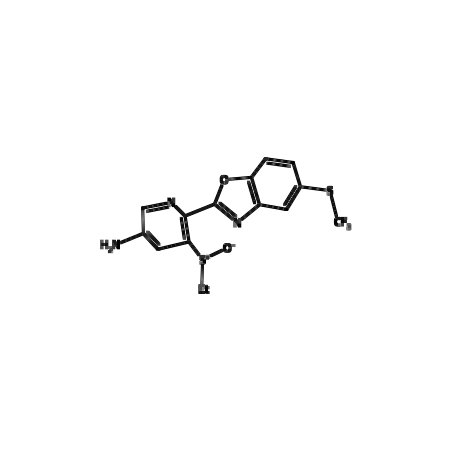 CC[S+]([O-])c1cc(N)cnc1-c1nc2cc(SC(F)(F)F)ccc2o1